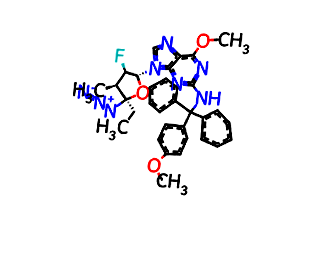 CC[C@@]1(N=[N+]=[N-])O[C@@H](n2cnc3c(OC)nc(NC(c4ccccc4)(c4ccccc4)c4ccc(OC)cc4)nc32)[C@H](F)[C@@H]1C